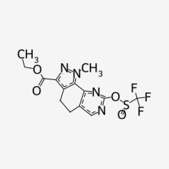 CCOC(=O)c1nn(C)c2c1CCc1cnc(OS(=O)C(F)(F)F)nc1-2